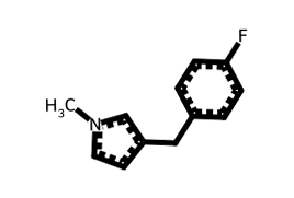 Cn1ccc(Cc2ccc(F)cc2)c1